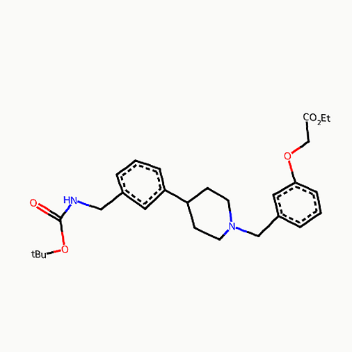 CCOC(=O)COc1cccc(CN2CCC(c3cccc(CNC(=O)OC(C)(C)C)c3)CC2)c1